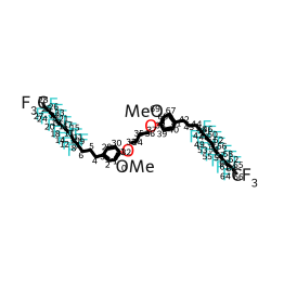 COc1cc(CCCC(F)(F)C(F)(F)C(F)(F)C(F)(F)C(F)(F)C(F)(F)C(F)(F)C(F)(F)F)ccc1OCCCCOc1ccc(CCCC(F)(F)C(F)(F)C(F)(F)C(F)(F)C(F)(F)C(F)(F)C(F)(F)C(F)(F)F)cc1OC